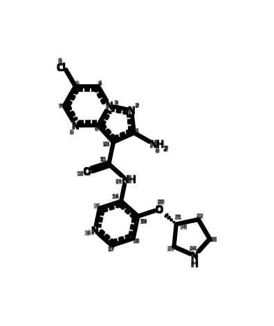 Nc1nn2cc(Cl)cnc2c1C(=O)Nc1cnccc1O[C@@H]1CCNC1